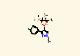 CC(C)Cn1cc(B2OC(C)(C)C(C)(C)O2)c(-c2ccc(F)cc2)n1